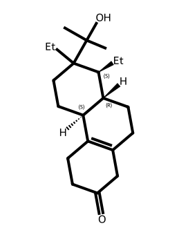 CC[C@H]1[C@@H]2CCC3=C(CCC(=O)C3)[C@H]2CCC1(CC)C(C)(C)O